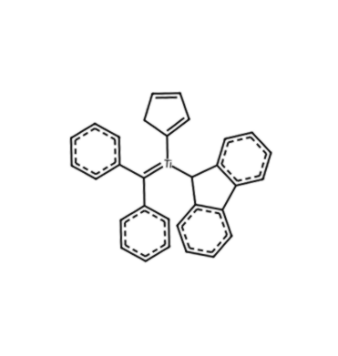 C1=CC[C]([Ti](=[C](c2ccccc2)c2ccccc2)[CH]2c3ccccc3-c3ccccc32)=C1